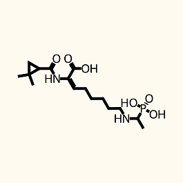 CC(NCCCCCC=C(NC(=O)C1CC1(C)C)C(=O)O)P(=O)(O)O